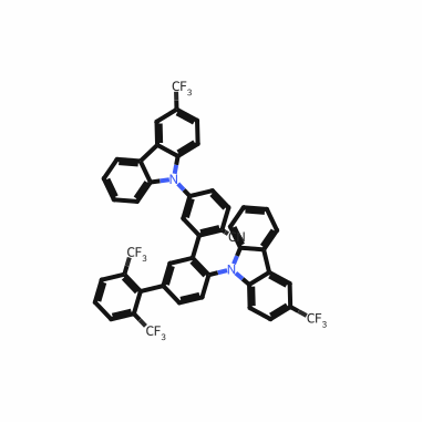 N#Cc1ccc(-n2c3ccccc3c3cc(C(F)(F)F)ccc32)cc1-c1cc(-c2c(C(F)(F)F)cccc2C(F)(F)F)ccc1-n1c2ccccc2c2cc(C(F)(F)F)ccc21